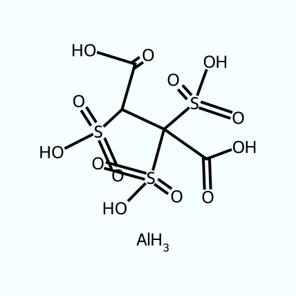 O=C(O)C(C(C(=O)O)(S(=O)(=O)O)S(=O)(=O)O)S(=O)(=O)O.[AlH3]